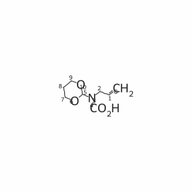 C=CCN(C(=O)O)C1OCCCO1